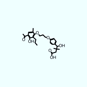 CCCc1c(O)c(C(C)=O)cc(C)c1OCCCOc1ccc(C(O)C(C)(C)CC(=O)O)cc1